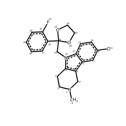 CN1CCc2c(c3cc(Cl)ccc3n2CC2(c3ccccc3F)OCCO2)C1